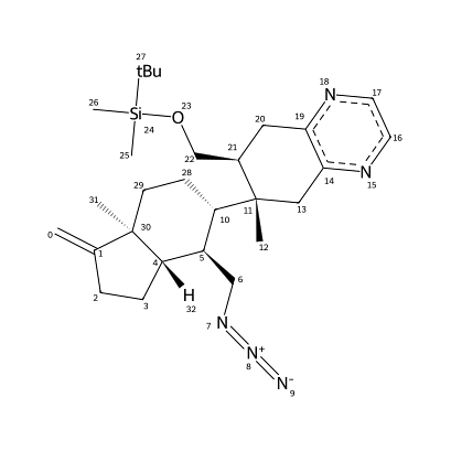 C=C1CC[C@H]2[C@H](CN=[N+]=[N-])[C@@H]([C@@]3(C)Cc4nccnc4C[C@@H]3CO[Si](C)(C)C(C)(C)C)CC[C@]12C